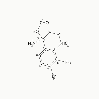 Cl.N[C@]1(OC=O)CCCc2c1ccc(Br)c2F